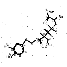 COC(=O)C(CC(C)(C)C(C)(C)C(C)(CC(C)(C)C)C(=O)NCCc1ccc(O)c(O)c1)C(C)(C)C